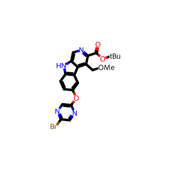 COCc1c(C(=O)OC(C)(C)C)ncc2[nH]c3ccc(Oc4cnc(Br)cn4)cc3c12